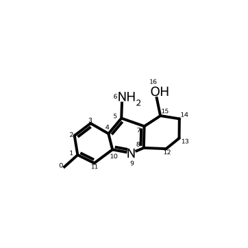 Cc1ccc2c(N)c3c(nc2c1)CCCC3O